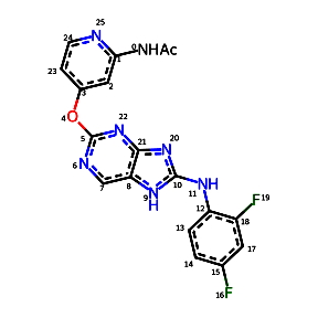 CC(=O)Nc1cc(Oc2ncc3[nH]c(Nc4ccc(F)cc4F)nc3n2)ccn1